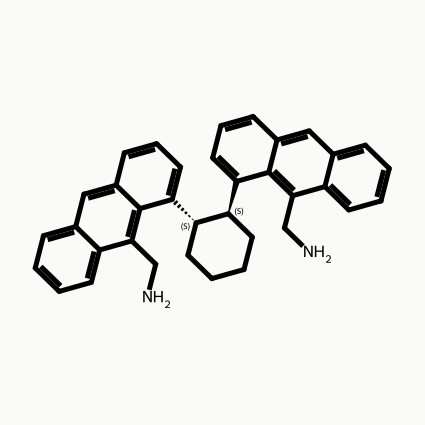 NCc1c2ccccc2cc2cccc([C@H]3CCCC[C@@H]3c3cccc4cc5ccccc5c(CN)c34)c12